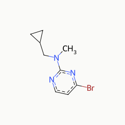 CN(CC1CC1)c1nccc(Br)n1